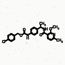 COc1nc(C)ccc1C(=O)NC(C)c1ccc(NC(=O)OCc2ccc(Cl)cc2)cc1